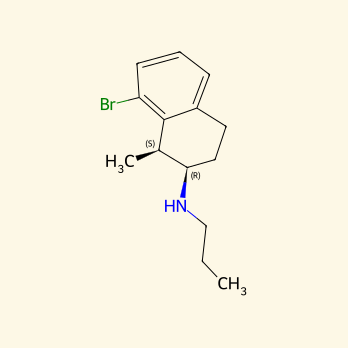 CCCN[C@@H]1CCc2cccc(Br)c2[C@@H]1C